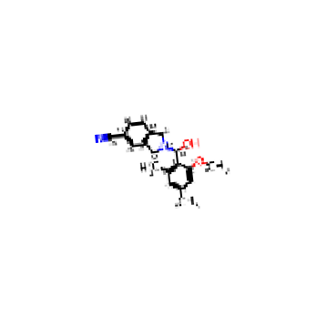 COc1cc(C)cc(C)c1C(O)N1Cc2ccc(C#N)cc2C1